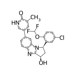 Cc1cc(-c2ccc3nc4n(c3c2)[C@@H](c2cc(Cl)ccc2OC(F)F)C[C@H]4O)c[nH]c1=O